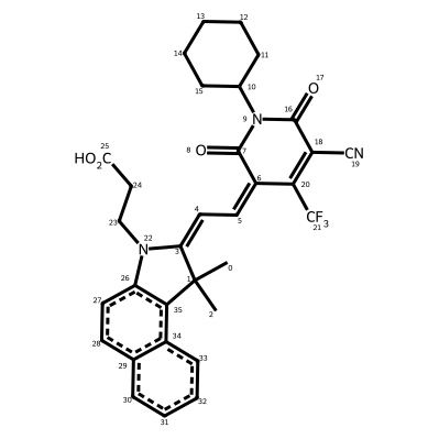 CC1(C)/C(=C\C=C2/C(=O)N(C3CCCCC3)C(=O)C(C#N)=C2C(F)(F)F)N(CCC(=O)O)c2ccc3ccccc3c21